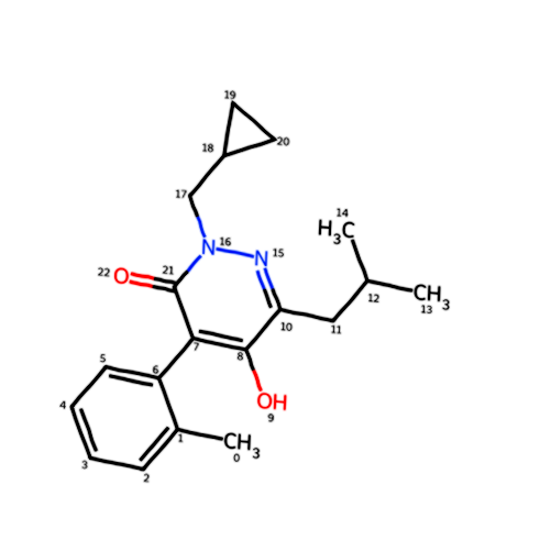 Cc1ccccc1-c1c(O)c(CC(C)C)nn(CC2CC2)c1=O